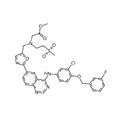 COC(=O)CN(CCS(C)(=O)=O)Cc1ccc(-c2ccc3ncnc(Nc4ccc(OCc5cccc(F)c5)c(Cl)c4)c3c2)o1